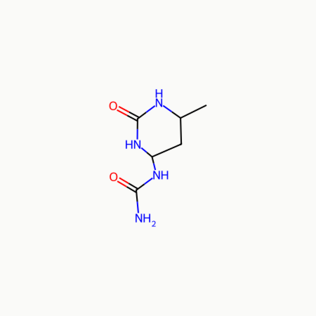 CC1CC(NC(N)=O)NC(=O)N1